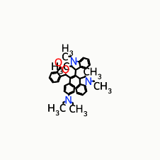 CCN(CC)c1ccc(C(=C(C2c3ccccc3N(CC)C2C)C2c3ccccc3N(CC)C2C)C2OC(=O)c3ccccc32)cc1